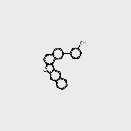 Cc1cccc(-c2ccc3ccc4oc5cc6ccccc6cc5c4c3c2)c1